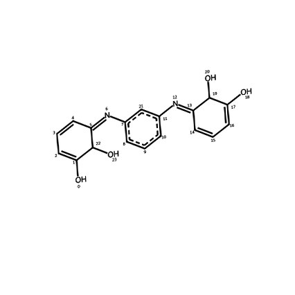 OC1=CC=CC(=Nc2cccc(N=C3C=CC=C(O)C3O)c2)C1O